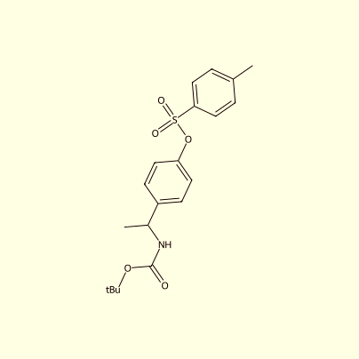 Cc1ccc(S(=O)(=O)Oc2ccc(C(C)NC(=O)OC(C)(C)C)cc2)cc1